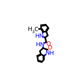 Cc1cccc2c1NC(C(=O)NC1Cc3ccccc3NC1=O)C2